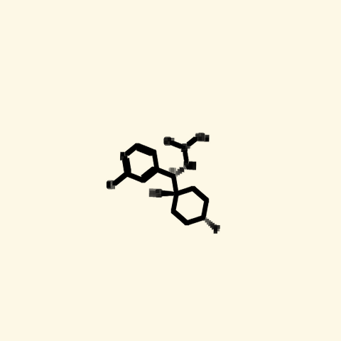 CC(C)(C)[S+]([O-])N[C@@H](c1ccnc(Cl)c1)[C@]1(O)CC[C@H](F)CC1